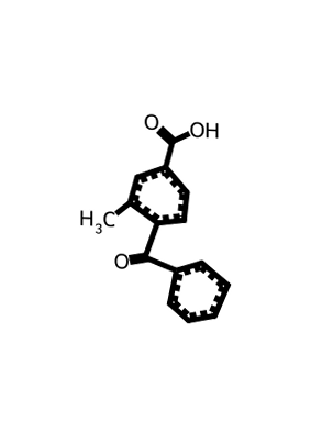 Cc1cc(C(=O)O)ccc1C(=O)c1ccccc1